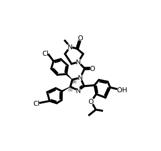 CC(C)Oc1cc(O)ccc1C1=N[C@@H](c2ccc(Cl)cc2)[C@@H](c2ccc(Cl)cc2)N1C(=O)N1CCN(C)C(=O)C1